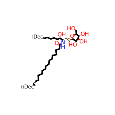 CCCCCCCCCCCCCCCCCCCCCCCCCC(=O)N[C@@H](CS[C@H]1OC(CO)[C@H](O)C(O)C1O)[C@H](O)CCCCCCCCCCCCCCC